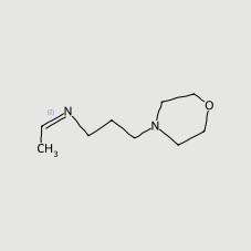 C/C=N\CCCN1CCOCC1